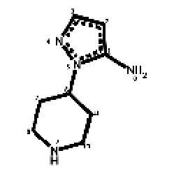 Nc1ccnn1C1CCNCC1